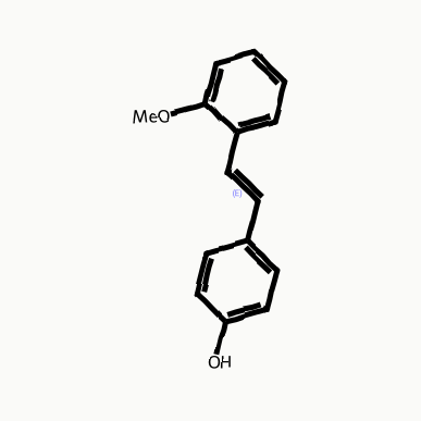 COc1ccccc1/C=C/c1ccc(O)cc1